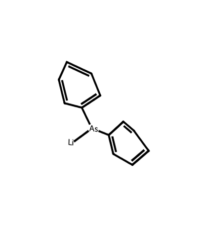 [Li][As](c1ccccc1)c1ccccc1